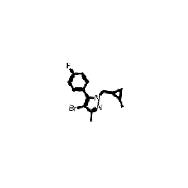 Cc1nn(CC2CC2C)c(-c2ccc(F)cc2)c1Br